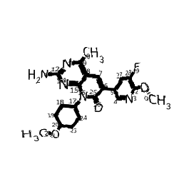 COc1ncc(-c2cc3c(C)nc(N)nc3n(C3CCC(OC)CC3)c2=O)cc1F